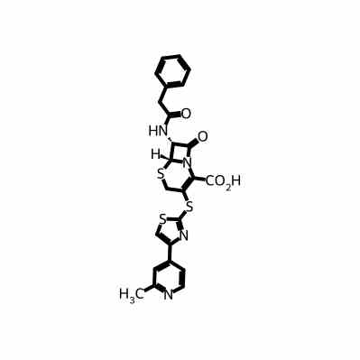 Cc1cc(-c2csc(SC3=C(C(=O)O)N4C(=O)[C@@H](NC(=O)Cc5ccccc5)[C@H]4SC3)n2)ccn1